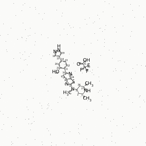 C[C@@H]1CC(N(C)c2nc3sc(-c4ccc(-c5cn[nH]c5)cc4O)nc3s2)C[C@H](C)N1.O=C(O)C(F)(F)F